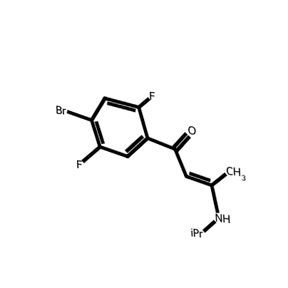 C/C(=C\C(=O)c1cc(F)c(Br)cc1F)NC(C)C